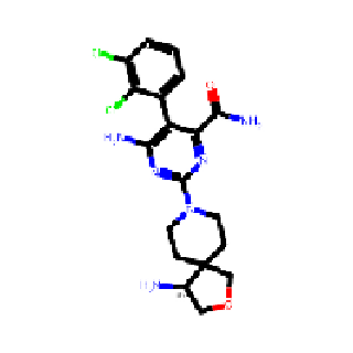 NC(=O)c1nc(N2CCC3(CC2)COC[C@H]3N)nc(N)c1-c1cccc(Cl)c1Cl